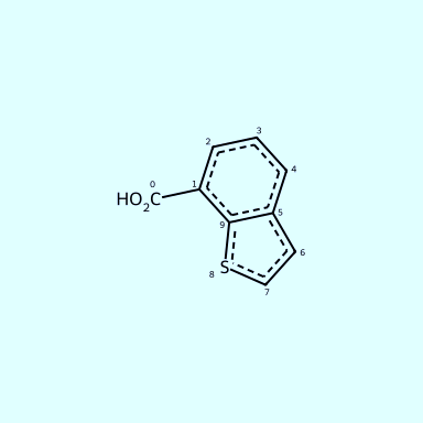 O=C(O)c1cccc2ccsc12